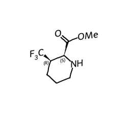 COC(=O)[C@H]1NCCC[C@H]1C(F)(F)F